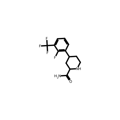 NC(=O)C1CC(c2cccc(C(F)(F)F)c2F)CCN1